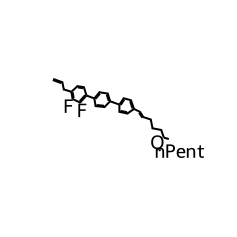 C=CCc1ccc(-c2ccc(-c3ccc(C=CCCCC(C)OCCCCC)cc3)cc2)c(F)c1F